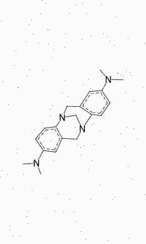 CN(C)c1ccc2c(c1)CN1CN2Cc2cc(N(C)C)ccc21